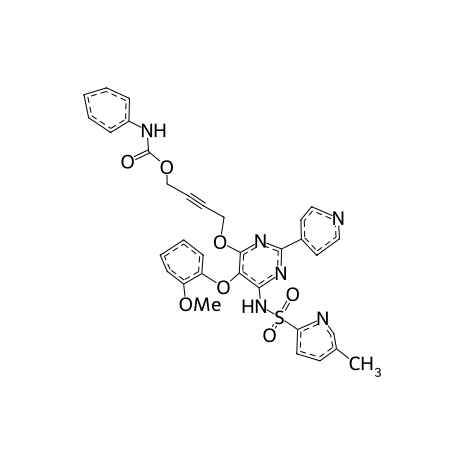 COc1ccccc1Oc1c(NS(=O)(=O)c2ccc(C)cn2)nc(-c2ccncc2)nc1OCC#CCOC(=O)Nc1ccccc1